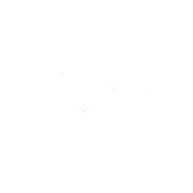 O=C(NC(Cc1ccccc1)(c1ccc(Cl)cn1)c1cccc2c1OC(F)(F)O2)C1CC1